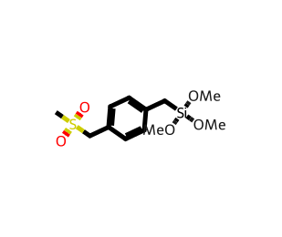 CO[Si](Cc1ccc(CS(C)(=O)=O)cc1)(OC)OC